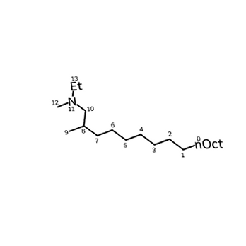 CCCCCCCCCCCCCCCC(C)CN(C)CC